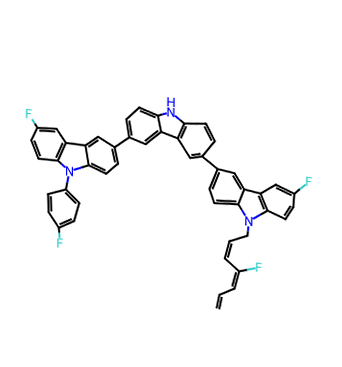 C=C/C=C(F)\C=C/Cn1c2ccc(F)cc2c2cc(-c3ccc4[nH]c5ccc(-c6ccc7c(c6)c6cc(F)ccc6n7-c6ccc(F)cc6)cc5c4c3)ccc21